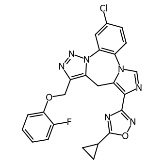 Fc1ccccc1OCc1nnn2c1Cc1c(-c3noc(C4CC4)n3)ncn1-c1ccc(Cl)cc1-2